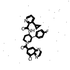 O=C(N[C@@H]1CCN(C(=O)c2cc(Cl)c3nccnc3c2)C[C@@H]1c1ccc(F)cc1)c1ncccc1C1CC1